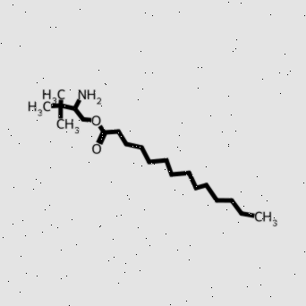 CCCCCCCCCCCCCC(=O)OCC(N)C(C)(C)C